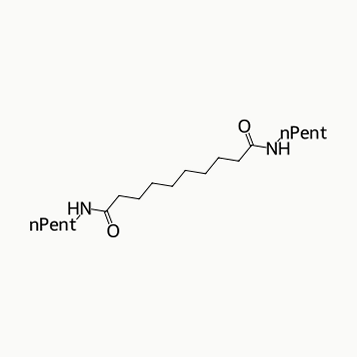 CCCCCNC(=O)CCCCCCCCC(=O)NCCCCC